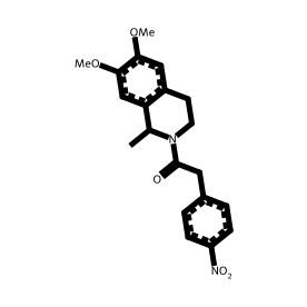 COc1cc2c(cc1OC)C(C)N(C(=O)Cc1ccc([N+](=O)[O-])cc1)CC2